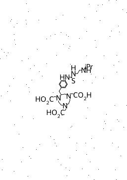 CC(C)NCCNC(=S)Nc1ccc(CC2CN(CC(=O)O)CCN(CC(=O)O)CCN2CC(=O)O)cc1